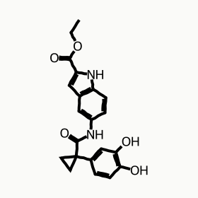 CCOC(=O)c1cc2cc(NC(=O)C3(c4ccc(O)c(O)c4)CC3)ccc2[nH]1